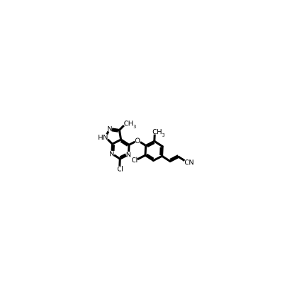 Cc1cc(/C=C/C#N)cc(Cl)c1Oc1nc(Cl)nc2[nH]nc(C)c12